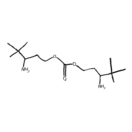 CC(C)(C)C(N)CCOC(=O)OCCC(N)C(C)(C)C